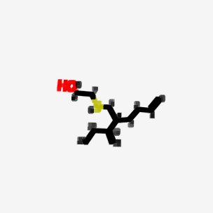 C=CCCC(CSCCO)C(=C)CC